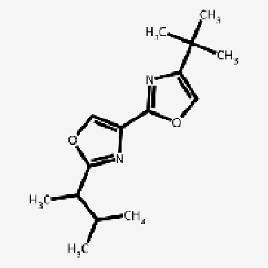 CC(C)C(C)c1nc(-c2nc(C(C)(C)C)co2)co1